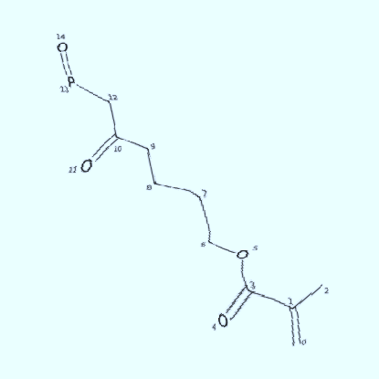 C=C(C)C(=O)OCCCCC(=O)CP=O